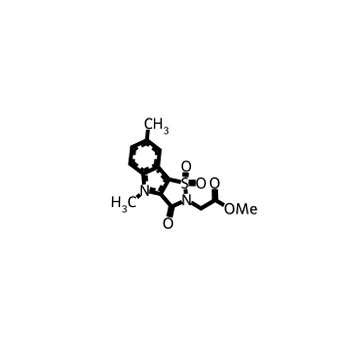 COC(=O)CN1C(=O)c2c(c3cc(C)ccc3n2C)S1(=O)=O